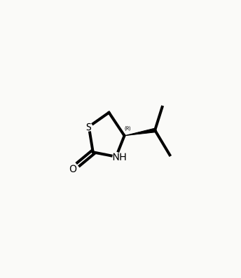 CC(C)[C@@H]1CSC(=O)N1